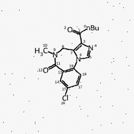 CCCCC(=O)c1ncn2c1CN(C)C(=O)c1cc(Cl)ccc1-2